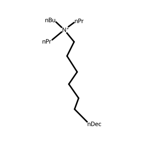 CCCCCCCCCCCCCCCC[N+](CCC)(CCC)CCCC